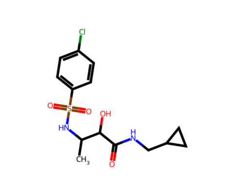 CC(NS(=O)(=O)c1ccc(Cl)cc1)C(O)C(=O)NCC1CC1